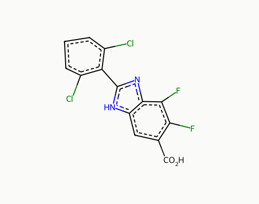 O=C(O)c1cc2[nH]c(-c3c(Cl)cccc3Cl)nc2c(F)c1F